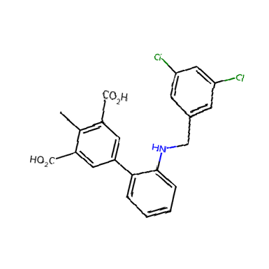 Cc1c(C(=O)O)cc(-c2ccccc2NCc2cc(Cl)cc(Cl)c2)cc1C(=O)O